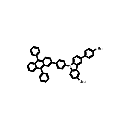 CC(C)(C)c1ccc(-c2ccc3c(c2)c2cc(C(C)(C)C)ccc2n3-c2ccc(-c3ccc4c(-c5ccccc5)c5ccccc5c(-c5ccccc5)c4c3)cc2)cc1